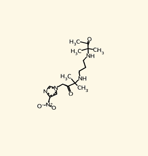 CC(=O)C(C)(C)NCCCNC(C)(C)C(=O)Cn1cnc([N+](=O)[O-])c1